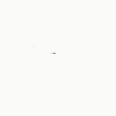 N#Cc1ccc2c(c1)[C@H]1CCCN[C@@H]1CC2